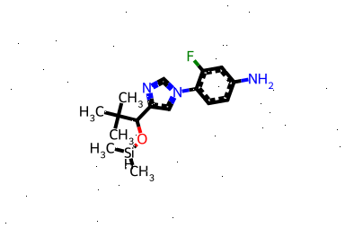 C[SiH](C)OC(c1cn(-c2ccc(N)cc2F)cn1)C(C)(C)C